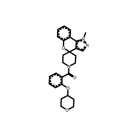 Cn1ncc2c1-c1ccccc1OC21CCN(C(=O)c2ccccc2OC2CCOCC2)CC1